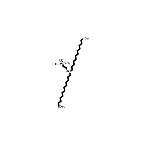 CCCCCCCCCCCCCCCCCCCCCC[PH-](CCCCCCCCCCCCCCCCCCCCCC)OCC[N+](C)(C)C